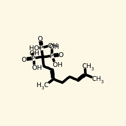 CC(C)=CCCC(C)=CCC(P(=O)(O)O)(P(=O)(O)O)P(=O)(O)O